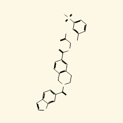 NS(=O)(=O)c1cccc(C[C@H](NC(=O)c2ccc3c(c2)CCN(C(=O)c2ccc4ccoc4c2)C3)C(=O)O)c1